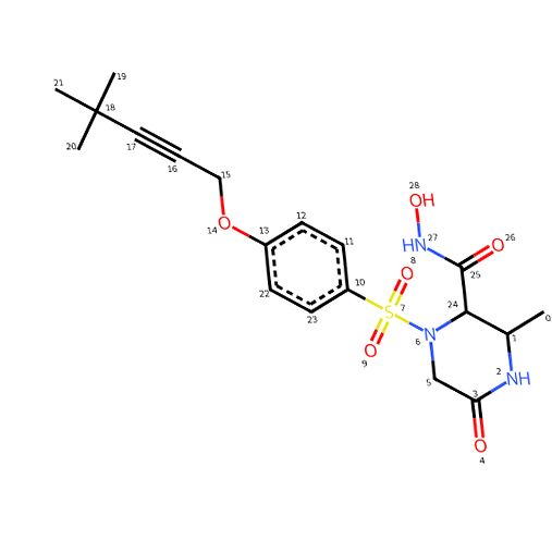 CC1NC(=O)CN(S(=O)(=O)c2ccc(OCC#CC(C)(C)C)cc2)C1C(=O)NO